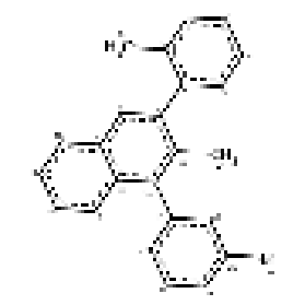 Cc1ccccc1-c1cc2ccccc2c(-c2cccc(Br)c2)c1C